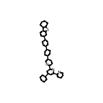 c1ccc(-c2cc(-c3ccccn3)nc(-c3ccc(-c4ccc(-c5ccc(-c6ccc7c(c6)sc6ccccc67)cc5)cc4)cn3)c2)cc1